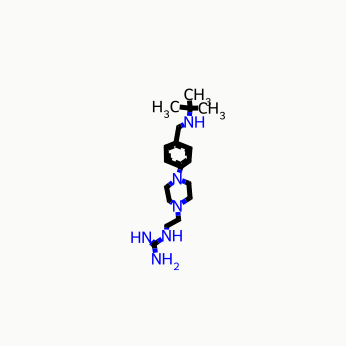 CC(C)(C)NCc1ccc(N2CCN(CCNC(=N)N)CC2)cc1